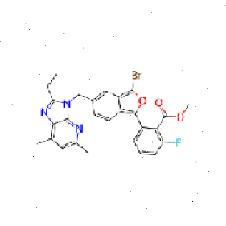 CCc1nc2c(C)cc(C)nc2n1Cc1ccc2c(-c3cccc(F)c3C(=O)OC)oc(Br)c2c1